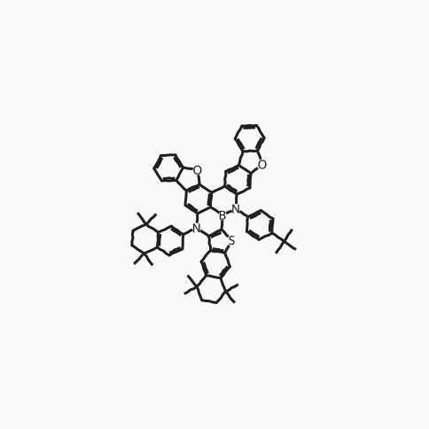 CC(C)(C)c1ccc(N2B3c4sc5cc6c(cc5c4N(c4ccc5c(c4)C(C)(C)CCC5(C)C)c4cc5c(oc7ccccc75)c(c43)-c3cc4c(cc32)oc2ccccc24)C(C)(C)CCC6(C)C)cc1